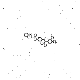 COc1ccc(-c2c(C)c3ccc(OC(=O)C4=Nc5ccccc5CC4)cc3oc2=O)cc1OC